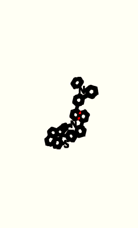 c1ccc2c(c#1)C1(c3ccccc3S2)c2cc(N(c3ccc(-c4ccc5c(c4)c4ccccc4n5-c4ccccc4)cc3)c3ccccc3-c3ccccc3)ccc2-c2ccc3c(c21)CCC=C3